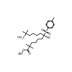 [C-]#[N+]C(CCCCC(C)(C)C(=O)O)(CCCCC(C)(C)C(=O)OC(C)CC)S(=O)(=O)c1ccc(C)cc1